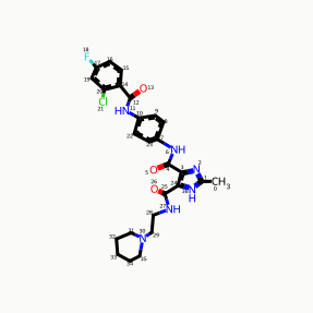 Cc1nc(C(=O)Nc2ccc(NC(=O)c3ccc(F)cc3Cl)cc2)c(C(=O)NCCN2CCCCC2)[nH]1